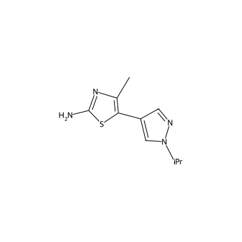 Cc1nc(N)sc1-c1cnn(C(C)C)c1